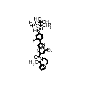 CCc1cc(C(=O)N2CCCn3cccc3C2C)nc2cc(-c3ccc(BOC(C)(C)C(C)(C)O)cc3F)nn12